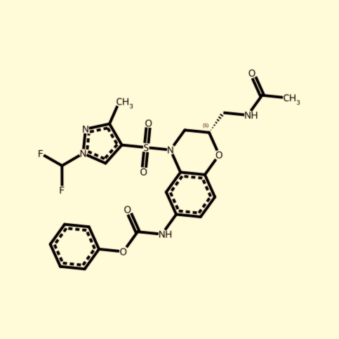 CC(=O)NC[C@H]1CN(S(=O)(=O)c2cn(C(F)F)nc2C)c2cc(NC(=O)Oc3ccccc3)ccc2O1